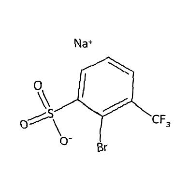 O=S(=O)([O-])c1cccc(C(F)(F)F)c1Br.[Na+]